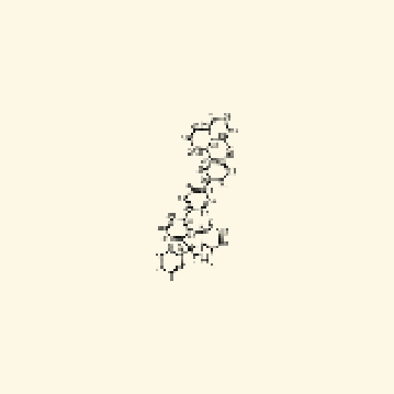 CC1(c2ccccc2)c2ccccc2-c2c(-c3ccc(-c4ccc5c(c4)-c4cccc6cccc(c46)S5)cc3)cccc21